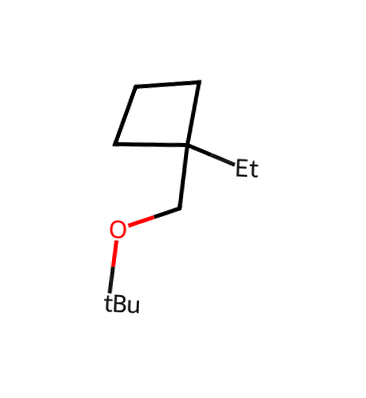 CCC1(COC(C)(C)C)CCC1